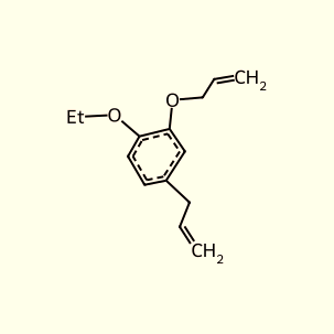 C=CCOc1cc(CC=C)ccc1OCC